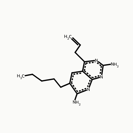 C=CCc1nc(N)nc2nc(N)c(CCCCC)cc12